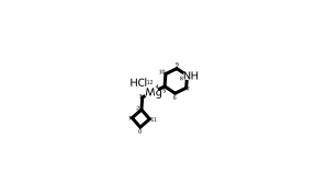 C1CC([CH2][Mg][CH]2CCNCC2)C1.Cl